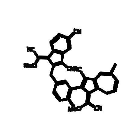 CO/C(C#N)=C1/C2=C(C=C(C)C=CC2)C(C#N)=C1c1cc(CC2=C(C#N)c3cc(C#N)ccc3/C2=C(\C#N)OC)ccc1C